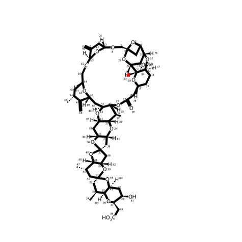 C=C1C[C@@H]2CC[C@]34CC(O3)[C@@H]3O[C@H]5CC[C@H](CC(=O)O[C@@H]6[C@@H](C)[C@@H]7O[C@@H]8C[C@@]9(C[C@@H]%10O[C@]%11(C[C@H](C)[C@@H]%12O[C@H](CC(=O)O)[C@H](O)C[C@@H]%12O%11)C[C@H](C)[C@@H]%10O9)O[C@@H]8C[C@@H]7O[C@H]6C[C@H]6O[C@@H](CC[C@@H]1O2)C[C@@H](C)C6=C)O[C@@H]5[C@H](O4)[C@@H]3OC